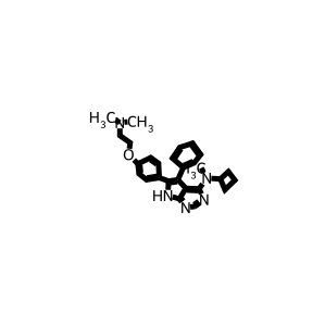 CN(C)CCOc1ccc(-c2[nH]c3ncnc(N(C)C4CCC4)c3c2-c2ccccc2)cc1